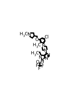 CCc1nn(OC(=O)C(F)(F)F)c2ncnc(N3CCN(c4cc(Cl)cc(OCC5CCN(C)CC5)c4C)CC3)c12